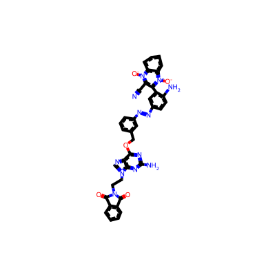 N#Cc1c(-c2cc(N=Nc3cccc(COc4nc(N)nc5c4ncn5CCN4C(=O)c5ccccc5C4=O)c3)ccc2N)[n+]([O-])c2ccccc2[n+]1[O-]